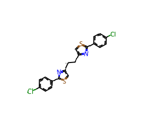 Clc1ccc(-c2nc([CH]Cc3csc(-c4ccc(Cl)cc4)n3)cs2)cc1